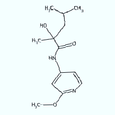 COc1cc(NC(=O)C(C)(O)CC(C)C)ccn1